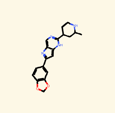 CC1CC(c2ncc3nc(-c4ccc5c(c4)OCO5)cc-3[nH]2)CCN1